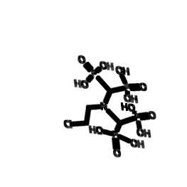 O=P(O)(O)C(N(CCCl)C(P(=O)(O)O)P(=O)(O)O)P(=O)(O)O